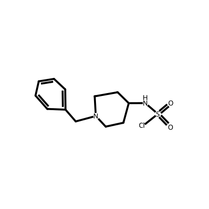 O=S(=O)(Cl)NC1CCN(Cc2ccccc2)CC1